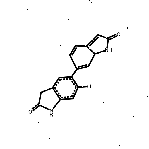 O=C1C=C2C=CC(c3cc4c(cc3Cl)NC(=O)C4)=CC2N1